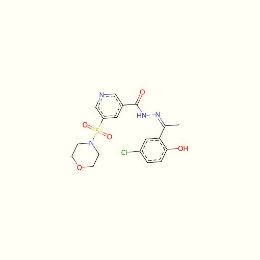 CC(=NNC(=O)c1cncc(S(=O)(=O)N2CCOCC2)c1)c1cc(Cl)ccc1O